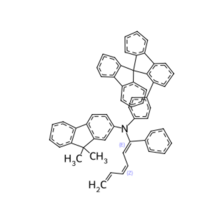 C=C/C=C\C=C(/c1ccccc1)N(c1ccc(-c2cccc3c2C2(c4ccccc4-c4ccccc42)c2ccccc2-3)cc1)c1ccc2c(c1)C(C)(C)c1ccccc1-2